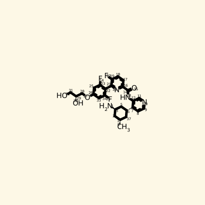 C[C@@H]1C[C@@H](N)C[C@H](c2ccncc2NC(=O)c2ccc(F)c(-c3c(F)cc(OC[C@H](O)CO)cc3F)n2)C1